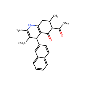 CCOC(=O)C1=C(C)NC2=C(C(=O)C(C(=O)OC)C(C)C2)C1c1ccc2ccccc2c1